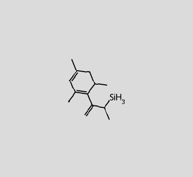 C=C(C1=C(C)C=C(C)CC1C)C(C)[SiH3]